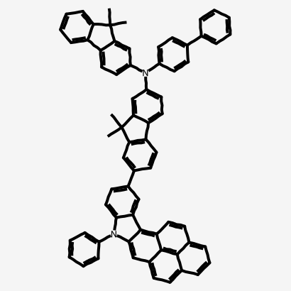 CC1(C)c2ccccc2-c2ccc(N(c3ccc(-c4ccccc4)cc3)c3ccc4c(c3)C(C)(C)c3cc(-c5ccc6c(c5)c5c7ccc8cccc9ccc(cc5n6-c5ccccc5)c7c98)ccc3-4)cc21